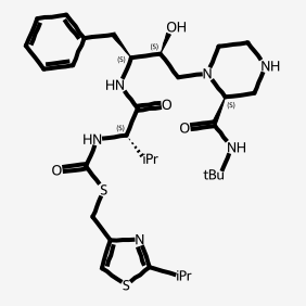 CC(C)c1nc(CSC(=O)N[C@H](C(=O)N[C@@H](Cc2ccccc2)[C@@H](O)CN2CCNC[C@H]2C(=O)NC(C)(C)C)C(C)C)cs1